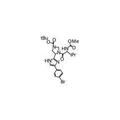 COC(=O)NC(C(=O)N1CN(C(=O)OC(C)(C)C)CC1c1nc(-c2ccc(Br)cc2)c[nH]1)C(C)C